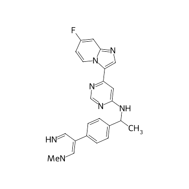 CN/C=C(\C=N)c1ccc(C(C)Nc2cc(-c3cnc4cc(F)ccn34)ncn2)cc1